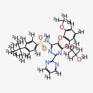 [2H]OC([2H])([2H])C([2H])([2H])Oc1nc(-c2nc([2H])c([2H])c([2H])n2)nc(N([2H])S(=O)(=O)c2c([2H])c([2H])c(C(C([2H])([2H])[2H])(C([2H])([2H])[2H])C([2H])([2H])[2H])c([2H])c2[2H])c1Oc1c([2H])c([2H])c([2H])c([2H])c1OC([2H])([2H])[2H]